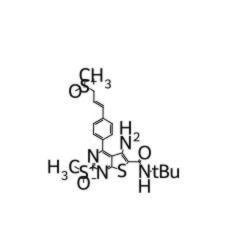 C[S+]([O-])C/C=C/c1ccc(-c2nc([S+](C)[O-])nc3sc(C(=O)NC(C)(C)C)c(N)c23)cc1